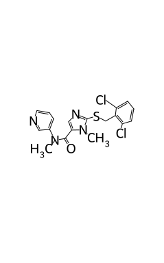 CN(C(=O)c1cnc(SCc2c(Cl)cccc2Cl)n1C)c1cccnc1